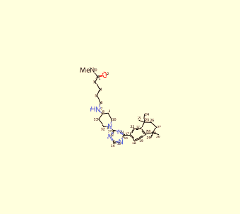 CNC(=O)CCCCNC1CCN(c2ncnc(-c3ccc4c(c3)C(C)(C)CCC4(C)C)n2)CC1